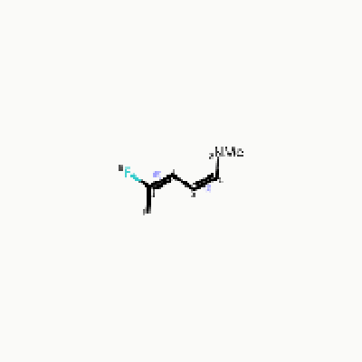 CN/C=C\C=C(/C)F